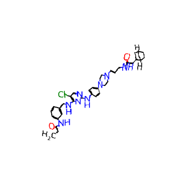 C=CC(=O)Nc1cccc(CNc2nc(Nc3ccc(N4CCN(CCCNC(=O)CC5C[C@@H]6CC[C@H]5C6)CC4)cc3)ncc2Cl)c1